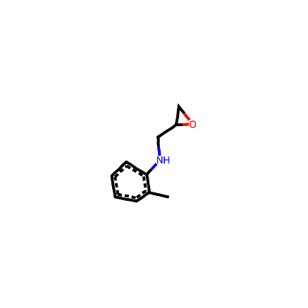 Cc1ccccc1NCC1CO1